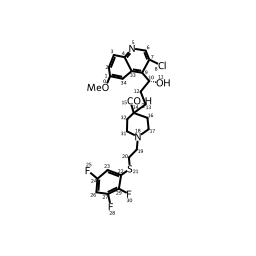 COc1ccc2ncc(Cl)c([C@H](O)CCC3(C(=O)O)CCN(CCSc4cc(F)cc(F)c4F)CC3)c2c1